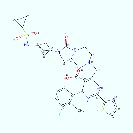 Cc1c(F)cccc1C1N=C(c2nccs2)NC(CN2CCN3C(=O)N(C45CC(NS(=O)(=O)C6CC6)(C4)C5)CC3C2)=C1C(=O)O